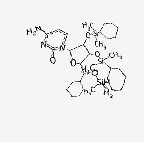 C[SiH](C)OC(C1CCCCC1)C1OC(n2ccc(N)nc2=O)C(O[Si](C)(C)C2CCCCC2)C1O[Si](C)(C)C1CCCCC1